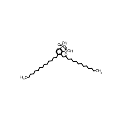 CCCCCCCCCCCCCCc1ccc(S(=O)(=O)O)c(S(=O)(=O)O)c1CCCCCCCCCCCCCC